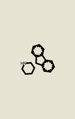 C1CCNCC1.c1ccc2c(c1)Cc1ccccc1-2